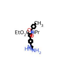 CCOC(=O)c1cc(-c2ccc(-c3cc(N)[nH]n3)cc2)oc1N(C(=O)C1CCC(C)CC1)C(C)C